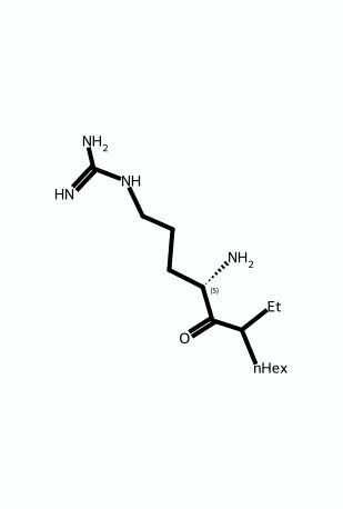 CCCCCCC(CC)C(=O)[C@@H](N)CCCNC(=N)N